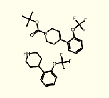 CC(C)(C)OC(=O)N1CCC(c2ccccc2OC(F)(F)F)CC1.FC(F)(F)Oc1ccccc1C1CCNCC1